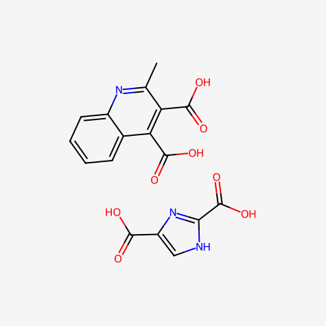 Cc1nc2ccccc2c(C(=O)O)c1C(=O)O.O=C(O)c1c[nH]c(C(=O)O)n1